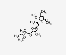 CC[C@H](OC)[C@@H](C)[C@@H]1O[C@H]1[C@H](O)[C@@H](C)/C=C/C=C(\C)[C@H]1O[C@@H](OC)C[C@H](OC)[C@H]1OC